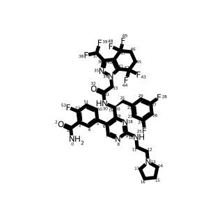 NC(=O)c1cc(-c2cnc(NCCN3CCCC3)nc2[C@H](Cc2cc(F)cc(F)c2)NC(=O)Cn2nc(C(F)F)c3c2C(F)(F)CCC3(F)F)ccc1F